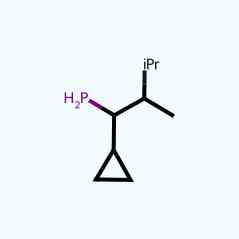 CC(C)C(C)C(P)C1CC1